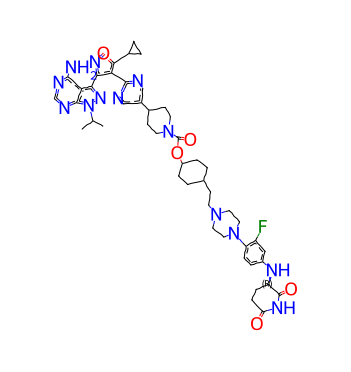 CC(C)n1nc(-c2noc(C3CC3)c2-c2ncc(C3CCN(C(=O)OC4CCC(CCN5CCN(c6ccc(N[C@@H]7CCC(=O)NC7=O)cc6F)CC5)CC4)CC3)cn2)c2c(N)ncnc21